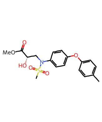 COC(=O)[C@@H](O)CN(c1ccc(Oc2ccc(C)cc2)cc1)S(C)(=O)=O